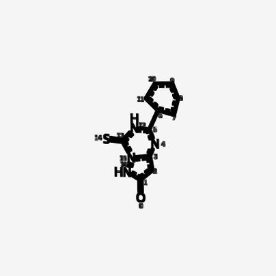 O=c1cc2nc(-c3ccccc3)[nH]c(=S)n2[nH]1